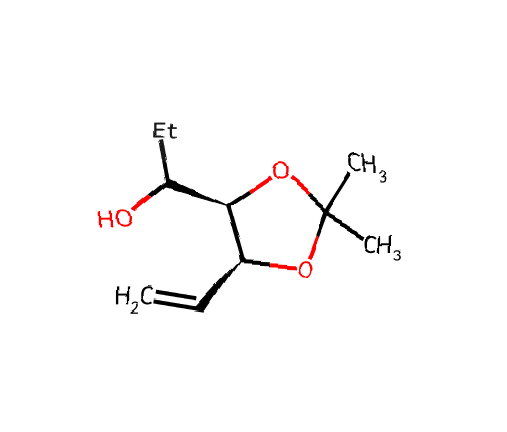 C=C[C@@H]1OC(C)(C)O[C@@H]1C(O)CC